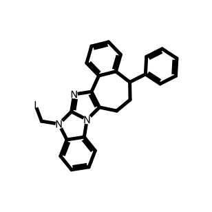 ICn1c2ccccc2n2c3c(nc12)-c1ccccc1C(c1ccccc1)CC3